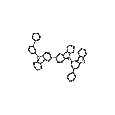 c1ccc(-c2cccc(-n3c4ccccc4c4cc(-c5ccc6c(c5)c5ccccc5n6-c5cc(-c6ccccc6)cc6oc7ccccc7c56)ccc43)c2)cc1